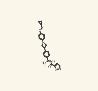 C[C@H](NC(=O)c1ccns1)c1ccc(C2CN(c3ccc(OCC4CC4)cc3)C2)cc1